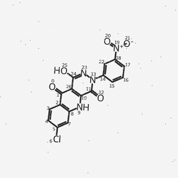 O=c1c2ccc(Cl)cc2[nH]c2c(=O)n(-c3cccc([N+](=O)[O-])c3)nc(O)c12